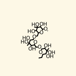 CCC1OC(OCC2OC(OCC3OC(OC)C(O)C(C)(O)C3O)C(O)C(C)(O)C2O)C(O)C(C)(O)C1O